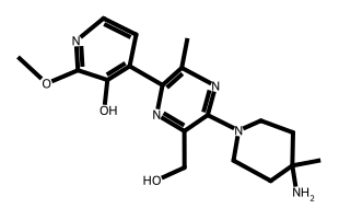 COc1nccc(-c2nc(CO)c(N3CCC(C)(N)CC3)nc2C)c1O